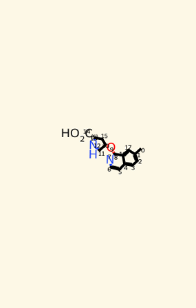 Cc1ccc2ccnc(OC3CN[C@H](C(=O)O)C3)c2c1